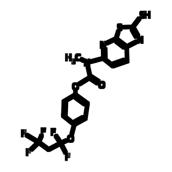 CN(C(=O)Oc1ccc(OC(F)(F)CC(F)(F)F)cc1)c1ccc2nc(S)sc2n1